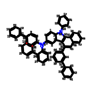 C1=CC2C(C=C1N(c1ccc(-c3ccccc3)cc1)c1ccccc1-c1ccccc1)c1c(-c3cccc(-c4ccccc4)c3)cc3ccccc3c1N2c1ccccc1